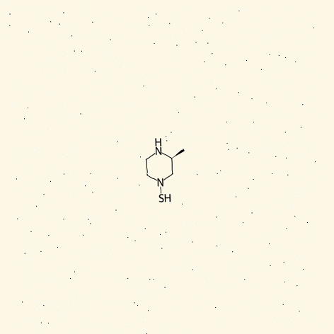 C[C@H]1CN(S)CCN1